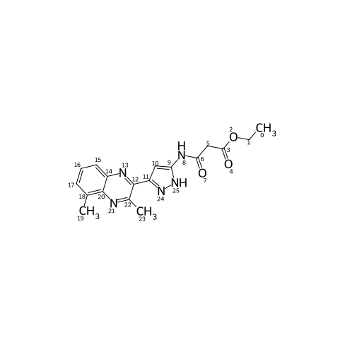 CCOC(=O)CC(=O)Nc1cc(-c2nc3cccc(C)c3nc2C)n[nH]1